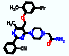 Cc1ccc(C(C)C)cc1OCc1c(C)nc(-c2ccccc2C#N)nc1N1CCN(CC(N)=O)CC1